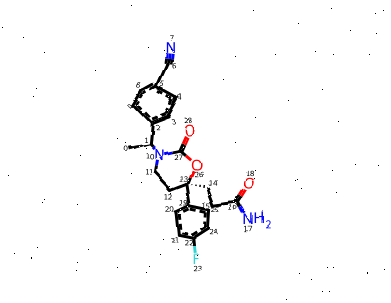 C[C@@H](c1ccc(C#N)cc1)N1CC[C@](CCC(N)=O)(c2ccc(F)cc2)OC1=O